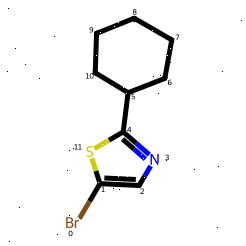 Brc1cnc(C2CC[CH]CC2)s1